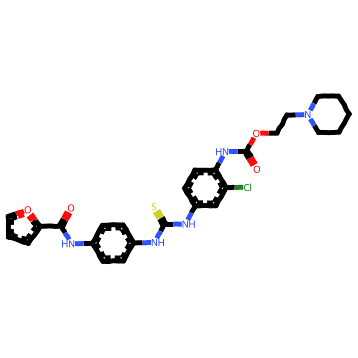 O=C(Nc1ccc(NC(=S)Nc2ccc(NC(=O)c3ccco3)cc2)cc1Cl)OCCN1CCCCC1